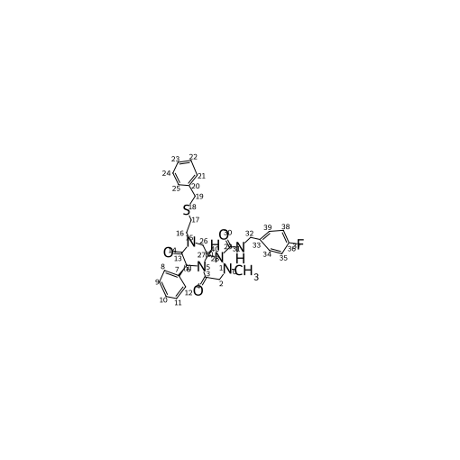 CN1CC(=O)N2[C@@H](c3ccccc3)C(=O)N(CCSCc3ccccc3)C[C@@H]2N1C(=O)NCc1ccc(F)cc1